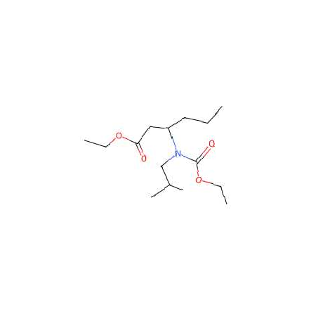 CCCC(CC(=O)OCC)N(CC(C)C)C(=O)OCC